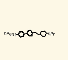 CCCCCc1ccc(-c2ccc(CCC3CCC(CCC)CC3)cc2)cc1